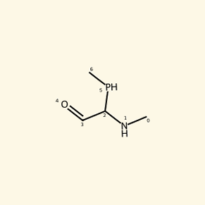 CNC(C=O)PC